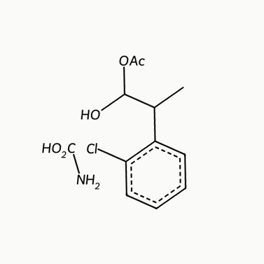 CC(=O)OC(O)C(C)c1ccccc1Cl.NC(=O)O